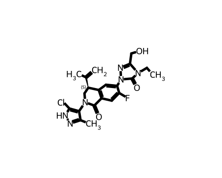 C=C(C)[C@@H]1CN(c2c(C)n[nH]c2Cl)C(=O)c2cc(F)c(-n3nc(CO)n(CC)c3=O)cc21